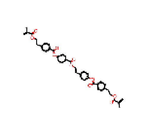 C=C(C)C(=O)OCCc1ccc(C(=O)Oc2ccc(CCOC(=O)c3ccc(OC(=O)c4ccc(CCOC(=O)C(=C)C)cc4)cc3)cc2)cc1